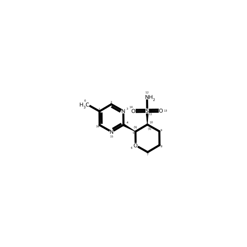 Cc1cnc([C@@H]2OCCC[C@@H]2S(N)(=O)=O)nc1